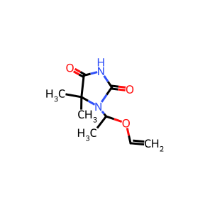 C=COC(C)N1C(=O)NC(=O)C1(C)C